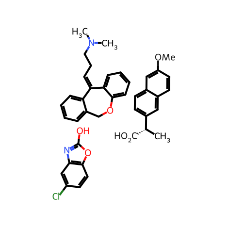 CN(C)CCC=C1c2ccccc2COc2ccccc21.COc1ccc2cc([C@H](C)C(=O)O)ccc2c1.Oc1nc2cc(Cl)ccc2o1